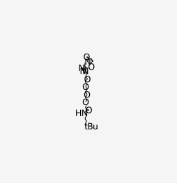 CC(C)(C)CCCCNC(=O)CCOCCOCCOCCOCCn1cc(CN2C(=O)C=CC2=O)nn1